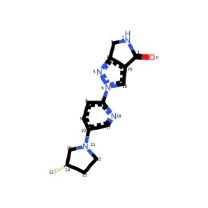 O=C1NCc2nn(-c3ccc(N4CC[C@H](F)C4)cn3)cc21